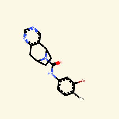 N#Cc1ccc(NC(=O)N2C3CCC2c2cncnc2C3)cc1Br